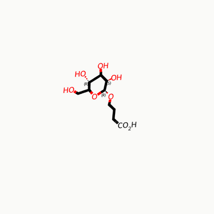 O=C(O)CCCO[C@@H]1OC(CO)[C@H](O)C(O)[C@@H]1O